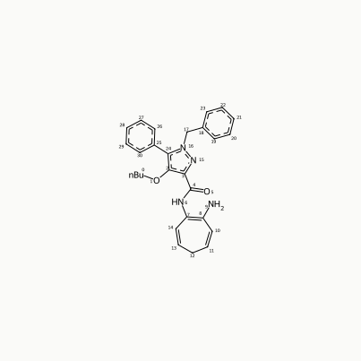 CCCCOc1c(C(=O)NC2=C(N)C=CCC=C2)nn(Cc2ccccc2)c1-c1ccccc1